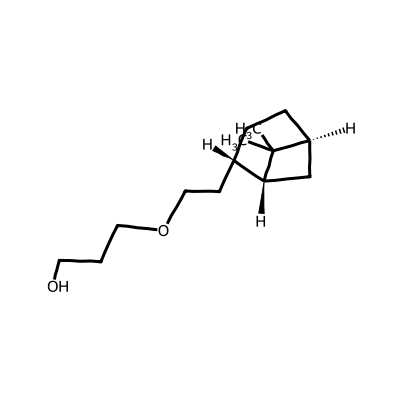 CC1(C)[C@H]2CC[C@@H](CCOCCCO)[C@H]1C2